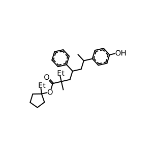 CCC1(OC(=O)C(C)(CC)CC(CC(C)c2ccc(O)cc2)c2ccccc2)CCCC1